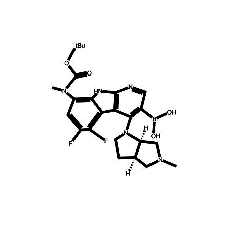 CN1C[C@H]2CCN(c3c(B(O)O)cnc4[nH]c5c(N(C)C(=O)OC(C)(C)C)cc(F)c(F)c5c34)[C@H]2C1